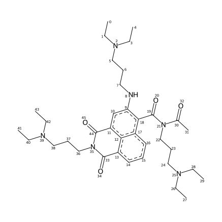 CCN(CC)CCCNc1cc2c3c(cccc3c1C(=O)N(CCCN(CC)CC)C(C)=O)C(=O)N(CCCN(CC)CC)C2=O